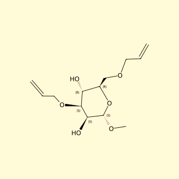 C=CCOC[C@H]1O[C@H](OC)[C@@H](O)[C@@H](OCC=C)[C@@H]1O